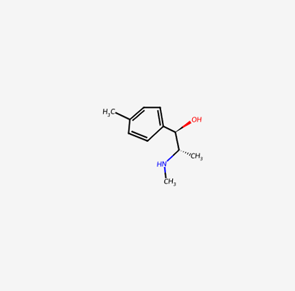 CN[C@@H](C)[C@H](O)c1ccc(C)cc1